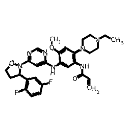 C=CC(=O)Nc1cc(Nc2cc(N3OCCC3c3cc(F)ccc3F)ncn2)c(OC)cc1N1CCN(CC)CC1